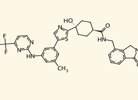 Cc1cc(Nc2nccc(C(F)(F)F)n2)cc(-c2cnc([C@]3(O)CC[C@H](C(=O)NCc4cccc5c4CNC5=O)CC3)s2)c1